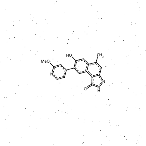 COc1cc(-c2cc3c(cc2O)c(C)cc2n[nH]c(=O)n23)ccn1